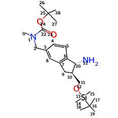 CN(Cc1ccc2c(c1)C[C@H](CO[Si](C)(C)C(C)(C)C)[C@H]2N)C(=O)OC(C)(C)C